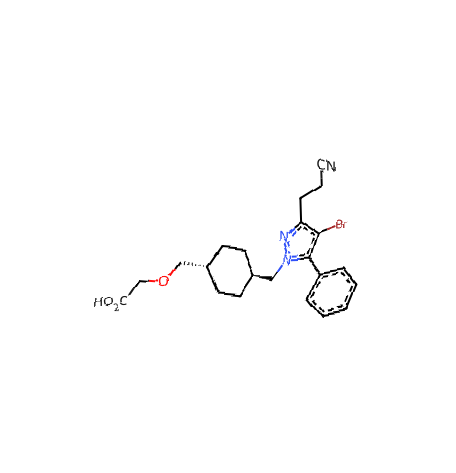 N#CCCc1nn(C[C@H]2CC[C@H](COCC(=O)O)CC2)c(-c2ccccc2)c1Br